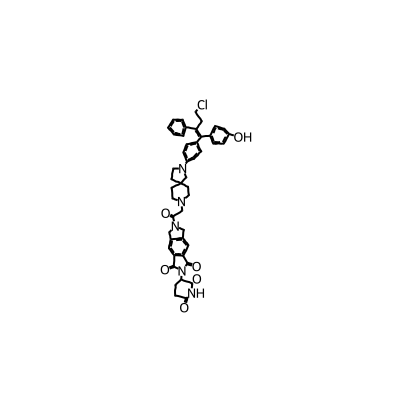 O=C1CCC(N2C(=O)c3cc4c(cc3C2=O)CN(C(=O)CN2CCC3(CC2)CCN(c2ccc(C(=C(CCCl)c5ccccc5)c5ccc(O)cc5)cc2)C3)C4)C(=O)N1